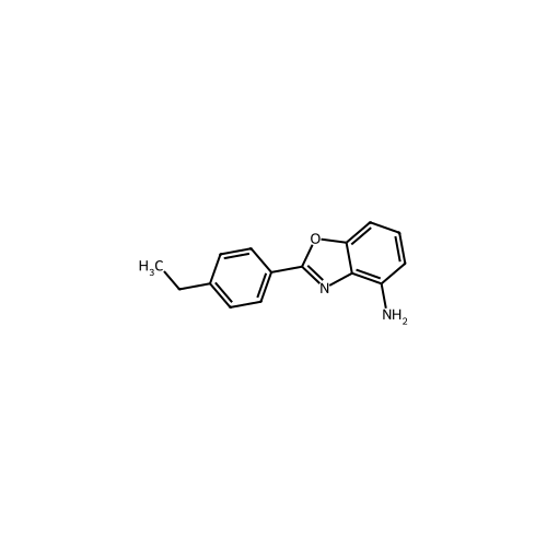 CCc1ccc(-c2nc3c(N)cccc3o2)cc1